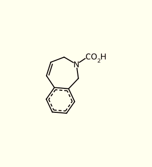 O=C(O)N1CC=Cc2ccccc2C1